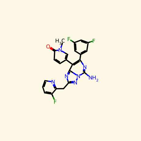 Cn1cc(-c2c(-c3cc(F)cc(F)c3)nc(N)n3nc(Cc4ncccc4F)nc23)ccc1=O